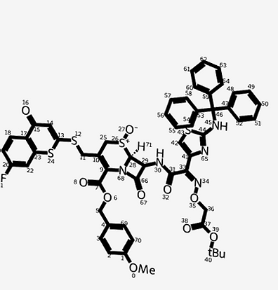 COc1ccc(COC(=O)C2=C(CSc3cc(=O)c4ccc(F)cc4s3)C[S+]([O-])[C@H]3C(NC(=O)/C(=N\OCC(=O)OC(C)(C)C)c4csc(NC(c5ccccc5)(c5ccccc5)c5ccccc5)n4)C(=O)N23)cc1